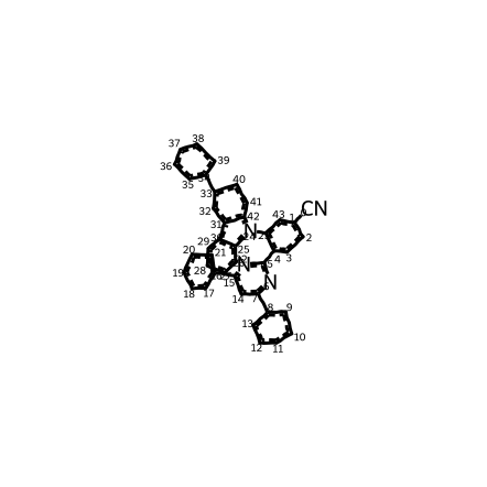 N#Cc1ccc(-c2nc(-c3ccccc3)cc(-c3ccccc3)n2)c(-n2c3ccccc3c3cc(-c4ccccc4)ccc32)c1